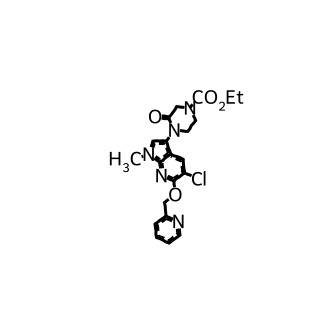 CCOC(=O)N1CCN(c2cn(C)c3nc(OCc4ccccn4)c(Cl)cc23)C(=O)C1